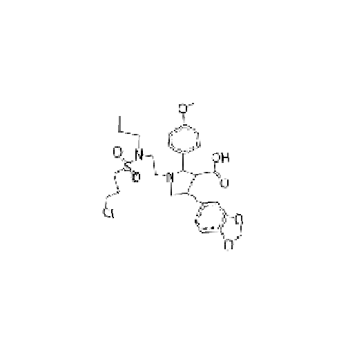 CCCN(CCN1CC(c2ccc3c(c2)OCO3)C(C(=O)O)C1c1ccc(OC)cc1)S(=O)(=O)CCCCl